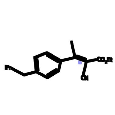 CCOC(=O)/C(C#N)=C(\C)c1ccc(CC(C)C)cc1